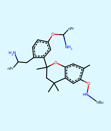 CCCCNOc1cc2c(cc1C)OC(C)(c1cc(OC(N)CCC)ccc1CC(N)CCC)CC2(C)C